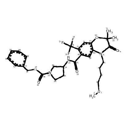 COCCCCN1C(=O)C(C)(C)Oc2cc(C(F)(F)F)c(C(=O)NC3CCN(C(=O)OCc4ccccc4)C3)cc21